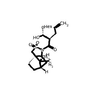 C=CC[C@@H](C(=O)N1[C@H]2C[C@@H]3CC[C@@]2(CS1(=O)=O)C3(C)C)[C@H](O)CCCCCC